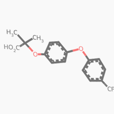 CC(C)(Oc1ccc(Oc2ccc(C(F)(F)F)cc2)cc1)C(=O)O